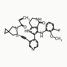 C=CC(=O)N1CC2(CC2)C[C@@H]1C#Cc1cnccc1-c1[nH]c2c(c1Nc1cccc(F)c1OC)C(=O)NCC2